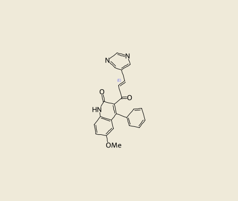 COc1ccc2[nH]c(=O)c(C(=O)/C=C/c3cncnc3)c(-c3ccccc3)c2c1